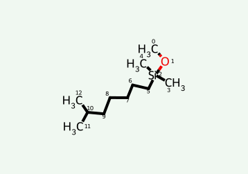 CO[Si](C)(C)CCCCCC(C)C